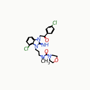 CN(CCCn1c(=N)n(CC(=O)c2ccc(Cl)cc2)c2cccc(Cl)c21)C(=O)N1CCOCC1